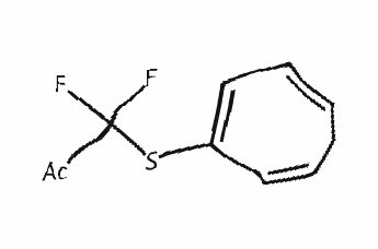 CC(=O)C(F)(F)Sc1ccccc1